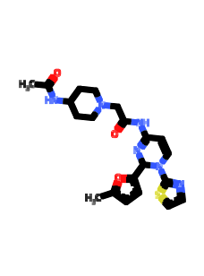 CC(=O)NC1CCN(CC(=O)NC2=NC(c3ccc(C)o3)N(c3nccs3)C=C2)CC1